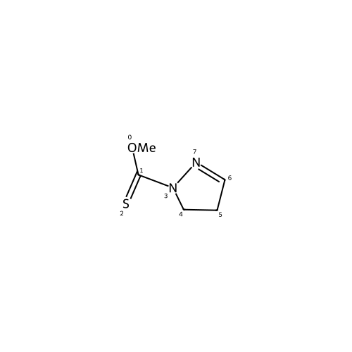 COC(=S)N1CCC=N1